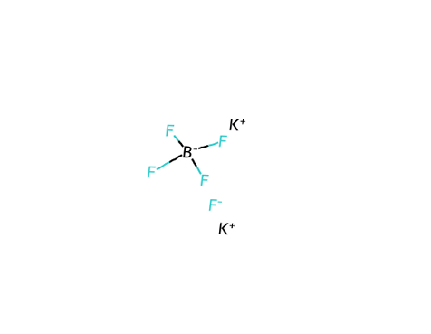 F[B-](F)(F)F.[F-].[K+].[K+]